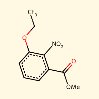 COC(=O)c1cccc(OCC(F)(F)F)c1[N+](=O)[O-]